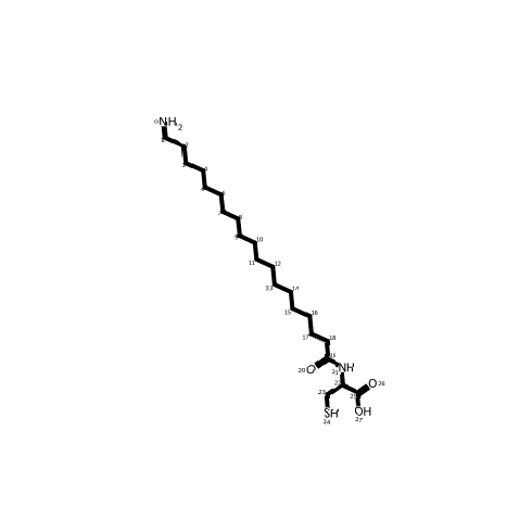 NCCCCCCCCCCCCCCCCCCC(=O)NC(CS)C(=O)O